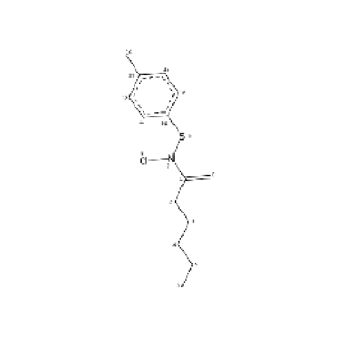 C=C(CCCCC)N(Cl)Sc1ccc(C)cc1